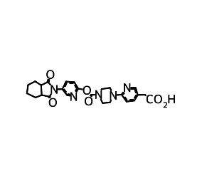 O=C(O)Cc1ccc(N2CCN(C(=O)Oc3ccc(N4C(=O)C5CCCCC5C4=O)cn3)CC2)nc1